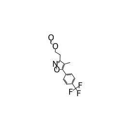 Cc1c(CCOC=O)noc1-c1ccc(C(F)(F)F)cc1